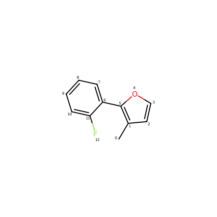 Cc1ccoc1-c1ccccc1F